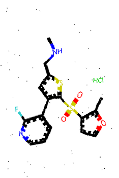 CNCc1cc(-c2cccnc2F)c(S(=O)(=O)c2ccoc2C)s1.Cl